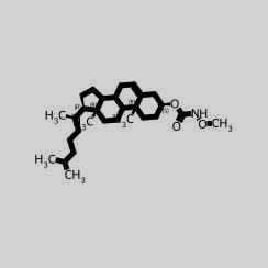 CONC(=O)O[C@H]1CC[C@@]2(C)C(=CCC3C2CC[C@@]2(C)C3CC[C@@H]2[C@H](C)CCCC(C)C)C1